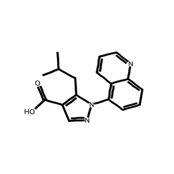 CC(C)Cc1c(C(=O)O)cnn1-c1cccc2ncccc12